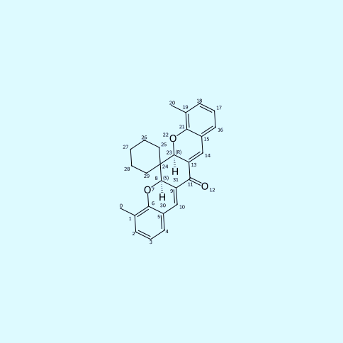 Cc1cccc2c1O[C@@H]1C(=C2)C(=O)C2=Cc3cccc(C)c3O[C@@H]2C12CCCCC2